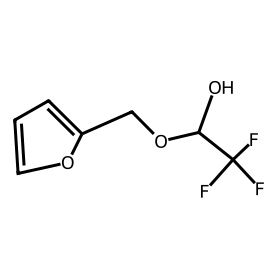 OC(OCc1ccco1)C(F)(F)F